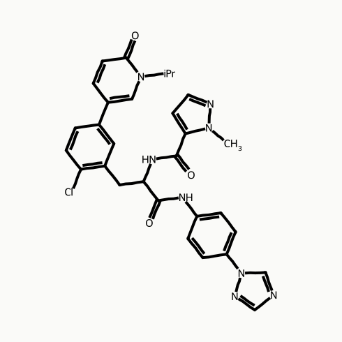 CC(C)n1cc(-c2ccc(Cl)c(CC(NC(=O)c3ccnn3C)C(=O)Nc3ccc(-n4cncn4)cc3)c2)ccc1=O